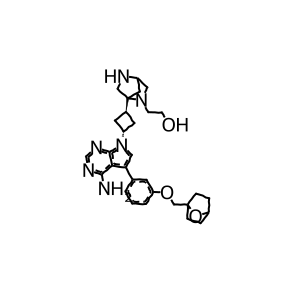 Nc1ncnc2c1c(-c1cccc(OCC34CCC(CC3)O4)c1)cn2[C@H]1C[C@H](C23CNC(CN2CCO)C3)C1